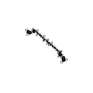 O=C(NCCCCNC(=O)NCCOCCOCCNS(=O)(=O)c1cc(F)c(O[C@@H]2CCc3c(Cl)cc(Cl)cc32)c(F)c1)NCCOCCOCCN[S+]([O-])c1cc(F)c(O[C@@H]2CCc3c(Cl)cc(Cl)cc32)c(F)c1